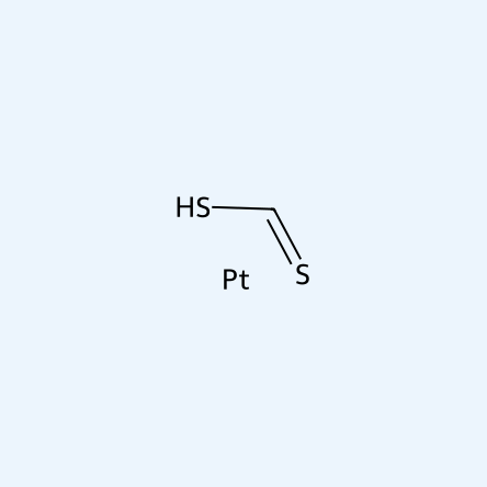 S=CS.[Pt]